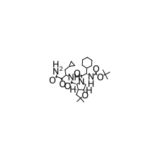 CC(C)(C)OC(=O)N[C@H](C(=O)N1C[C@H]2OC(C)(C)C[C@H]2[C@H]1C(=O)NC(CC1CC1)C(=O)C(N)=O)C1CCCCC1